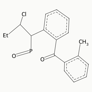 CCC(Cl)C(P=O)c1ccccc1C(=O)c1ccccc1C